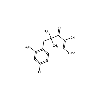 COC=C(C#N)C(=O)C(C)(C)Cc1ccc(Cl)cc1[N+](=O)[O-]